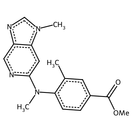 COC(=O)c1ccc(N(C)c2cc3c(cn2)ncn3C)c(C)c1